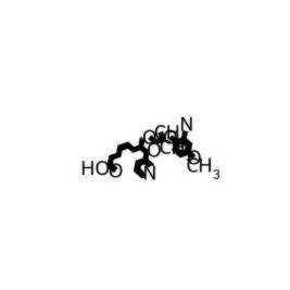 COc1ccc(OC(C)(C)C2OCC(C/C=C\CCC(=O)O)C(c3cccnc3)O2)c(C#N)c1